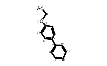 CC(=O)COc1ccc(-c2ccccc2)cc1